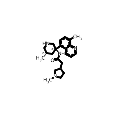 Cc1ccc([C@@]2(NC(=O)CC3CCN(C)C3)CNC[C@@H](C)C2)c2cccnc12